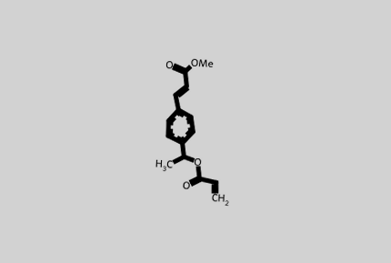 C=CC(=O)OC(C)c1ccc(C=CC(=O)OC)cc1